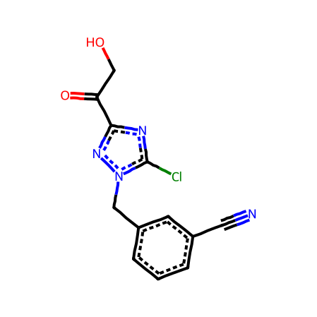 N#Cc1cccc(Cn2nc(C(=O)CO)nc2Cl)c1